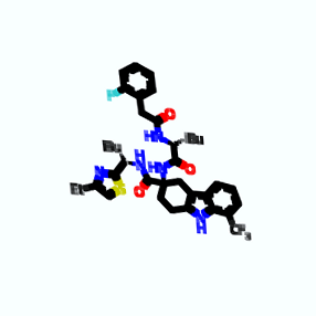 CCc1csc([C@@H](NC(=O)[C@@]2(NC(=O)[C@@H](NC(=O)Cc3ccccc3F)[C@@H](C)CC)CCc3[nH]c4c(C(F)(F)F)cccc4c3C2)[C@@H](C)CC)n1